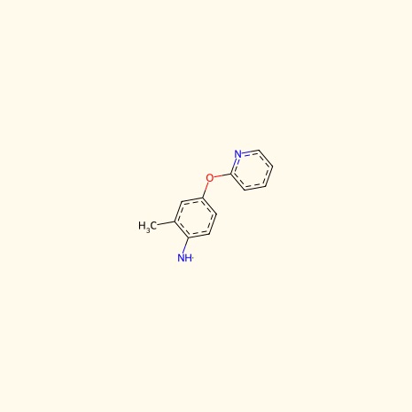 Cc1cc(Oc2ccccn2)ccc1[NH]